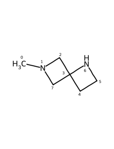 CN1CC2(CCN2)C1